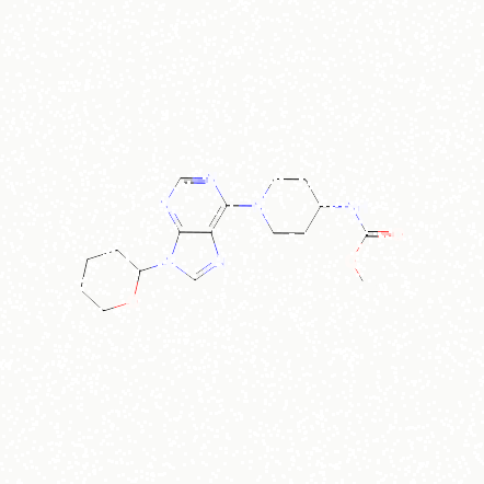 CC(C)(C)OC(=O)NC1CCN(c2ncnc3c2ncn3C2CCCCO2)CC1